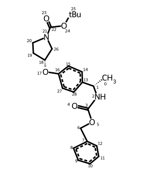 C[C@H](NC(=O)OCc1ccccc1)c1ccc(O[C@@H]2CCN(C(=O)OC(C)(C)C)C2)cc1